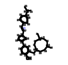 CN1CCN(C)CCN(Cc2cc(-c3ccc(/C=C/c4ccc(N(C)C)cc4)s3)ccc2O)CC1